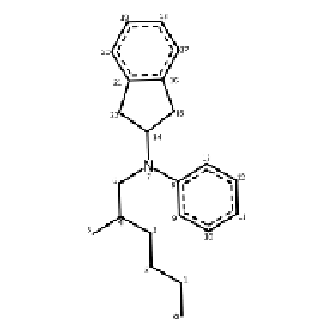 CCCCC(C)CN(c1ccccc1)C1Cc2ccccc2C1